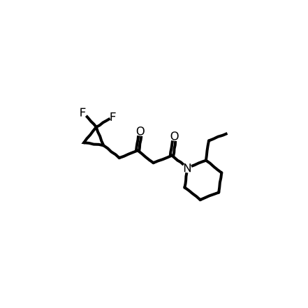 CCC1CCCCN1C(=O)CC(=O)CC1CC1(F)F